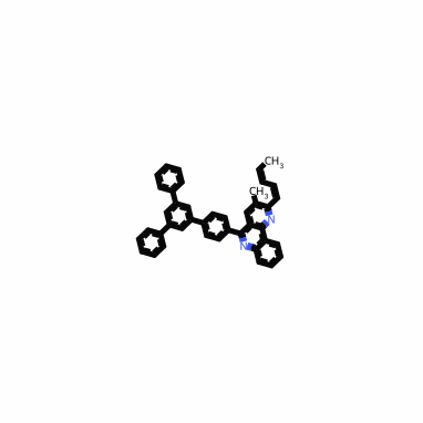 C/C=C\C=C/c1nc2c(cc1C)c(-c1ccc(-c3cc(-c4ccccc4)cc(-c4ccccc4)c3)cc1)nc1ccccc12